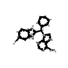 Nc1ncnc2c1ncn2C(c1ccccc1)c1nc2ccc(F)cc2[nH]1